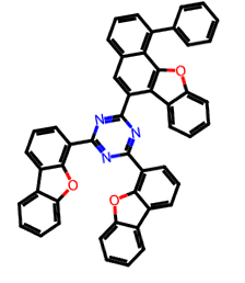 c1ccc(-c2cccc3cc(-c4nc(-c5cccc6c5oc5ccccc56)nc(-c5cccc6c5oc5ccccc56)n4)c4c5ccccc5oc4c23)cc1